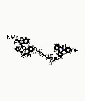 CC/C(=C(\c1ccc(O)cc1)c1ccc(OCCN(C)C(=O)COCCOCCOc2cccc(C(=O)c3csc([C@@H]4CCCN4C(=O)[C@@H](NC(=O)[C@H](C)NC)C4CCCCC4)n3)c2)cc1)c1ccccc1